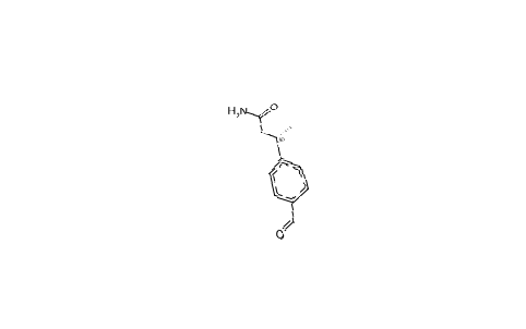 C[C@@H](CC(N)=O)c1ccc(C=O)cc1